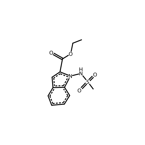 CCOC(=O)c1cc2ccccc2n1NS(C)(=O)=O